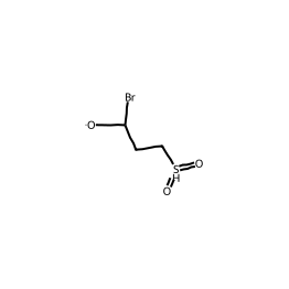 [O]C(Br)CC[SH](=O)=O